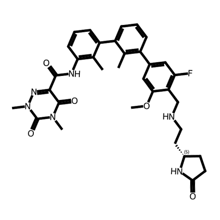 COc1cc(-c2cccc(-c3cccc(NC(=O)c4nn(C)c(=O)n(C)c4=O)c3C)c2C)cc(F)c1CNCC[C@@H]1CCC(=O)N1